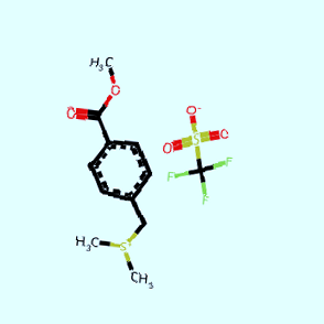 COC(=O)c1ccc(C[S+](C)C)cc1.O=S(=O)([O-])C(F)(F)F